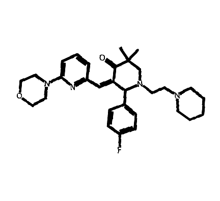 CC1(C)CN(CCN2CCCCC2)C(c2ccc(F)cc2)/C(=C/c2cccc(N3CCOCC3)n2)C1=O